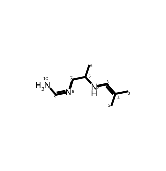 CC(C)=CNC(C)C/N=C\N